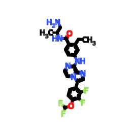 CCc1cc(Nc2nccn3c(-c4ccc(OC(F)F)c(F)c4F)cnc23)ccc1C(=O)N[C@@H](C)CN